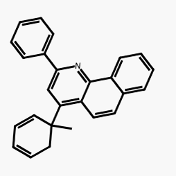 CC1(c2cc(-c3ccccc3)nc3c2ccc2ccccc23)C=CC=CC1